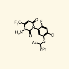 CCCC(Sc1cc(-n2c(=O)cc(C(F)(F)F)n(N)c2=O)c(F)cc1Cl)C(C)=O